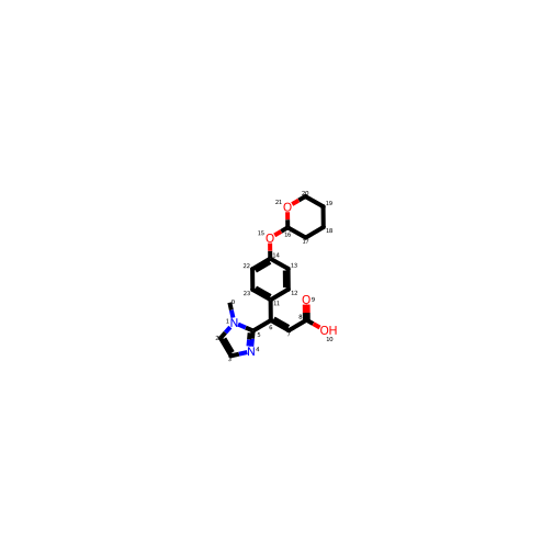 Cn1ccnc1/C(=C/C(=O)O)c1ccc(OC2CCCCO2)cc1